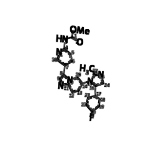 COC(=O)Nc1ccc(-c2cnc3ccc(-n4c(-c5ccc(F)cc5)cnc4C)cn23)cn1